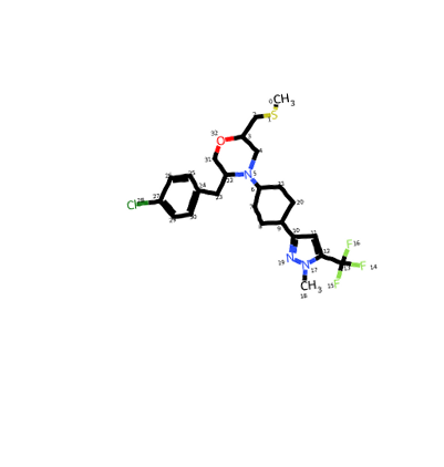 CSCC1CN(C2CCC(c3cc(C(F)(F)F)n(C)n3)CC2)C(Cc2ccc(Cl)cc2)CO1